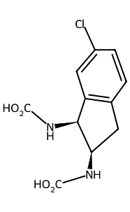 O=C(O)N[C@@H]1Cc2ccc(Cl)cc2[C@@H]1NC(=O)O